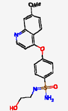 COc1ccc2c(Oc3ccc(S(N)(=O)=NCCO)cc3)ccnc2c1